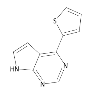 c1csc(-c2ncnc3[nH]ccc23)c1